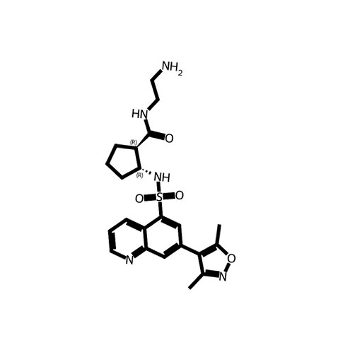 Cc1noc(C)c1-c1cc(S(=O)(=O)N[C@@H]2CCC[C@H]2C(=O)NCCN)c2cccnc2c1